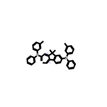 C=C(/C=C1\C(=C/C)c2ccc(N(c3ccccc3)c3cccc(C)c3)cc2C1(C)C)N(c1ccccc1)c1cccc(C)c1